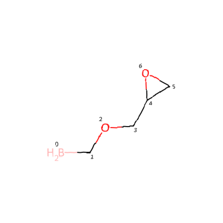 BCOCC1CO1